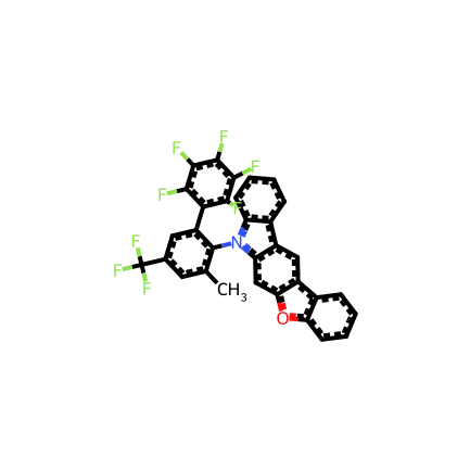 Cc1cc(C(F)(F)F)cc(-c2c(F)c(F)c(F)c(F)c2F)c1-n1c2ccccc2c2cc3c(cc21)oc1ccccc13